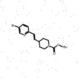 CC(C)(C)OC(=O)N1CCC(C=Cc2ccc(Br)cn2)CC1